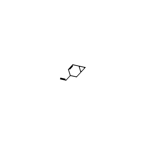 C=CC1C=CC2CC2C1